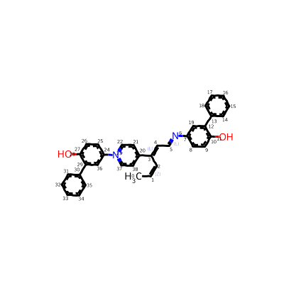 C\C=C/C(=C\C=N\c1ccc(O)c(-c2ccccc2)c1)c1cc[n+](-c2ccc(O)c(-c3ccccc3)c2)cc1